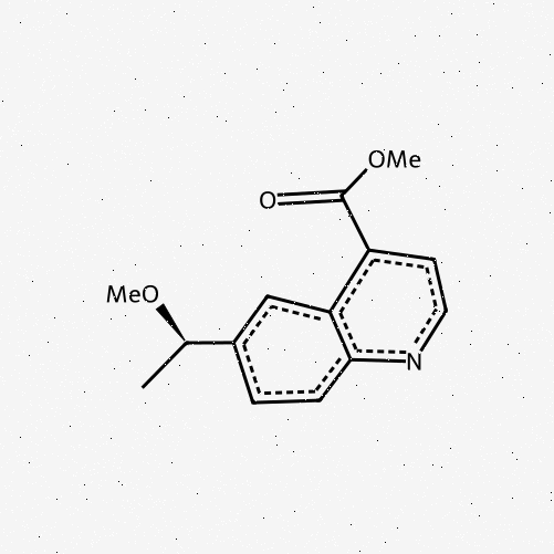 COC(=O)c1ccnc2ccc([C@@H](C)OC)cc12